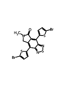 CN1Cc2c(c(-c3ccc(Br)s3)c3nsnc3c2-c2ccc(Br)s2)C1=O